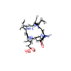 C=Cc1c(C)c2cc3nc(c4c5[nH]c(cc6nc(cc1[nH]2)C(C)=C6CC)c(C)c5C(=O)C4)[C@@H](CCC(=O)O)C3C